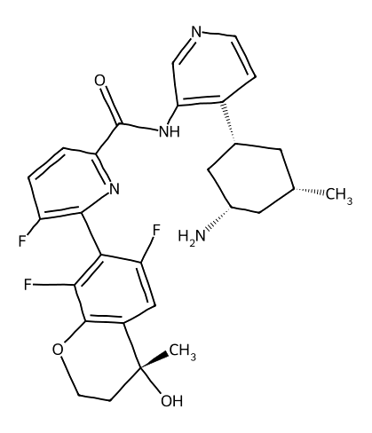 C[C@@H]1C[C@H](N)C[C@H](c2ccncc2NC(=O)c2ccc(F)c(-c3c(F)cc4c(c3F)OCC[C@@]4(C)O)n2)C1